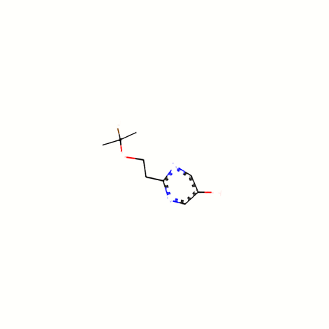 CC(C)(S)OCCc1ncc(O)cn1